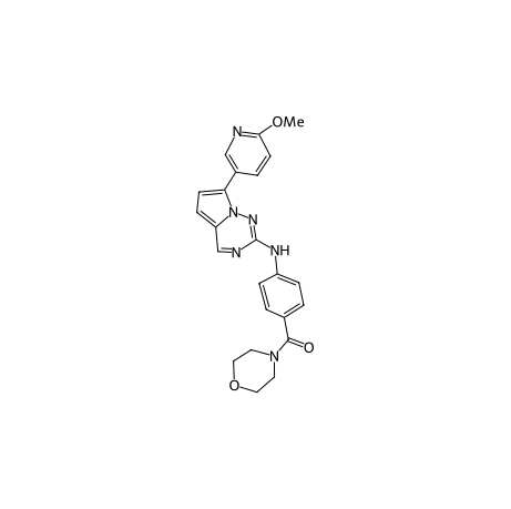 COc1ccc(-c2ccc3cnc(Nc4ccc(C(=O)N5CCOCC5)cc4)nn23)cn1